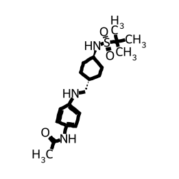 CC(=O)Nc1ccc(NC[C@H]2CC[C@H](NS(=O)(=O)C(C)(C)C)CC2)cc1